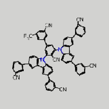 N#Cc1cccc(-c2ccc3c(c2)c2cc(-c4cccc(C#N)c4)ccc2n3-c2cc(-c3cc(C#N)cc(C(F)(F)F)c3)cc(-n3c4ccc(-c5cccc(C#N)c5)cc4c4cc(-c5cccc(C#N)c5)ccc43)c2C#N)c1